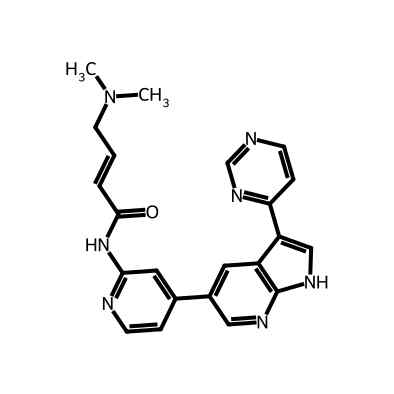 CN(C)CC=CC(=O)Nc1cc(-c2cnc3[nH]cc(-c4ccncn4)c3c2)ccn1